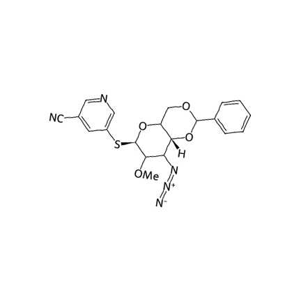 COC1C(N=[N+]=[N-])[C@H]2OC(c3ccccc3)OCC2O[C@@H]1Sc1cncc(C#N)c1